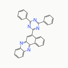 c1ccc(-c2nc(-c3ccccc3)nc(-c3cc4nc5ccccc5nc4c4ccccc34)n2)cc1